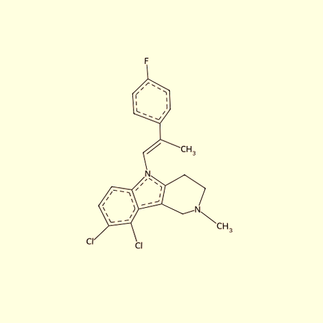 CC(=Cn1c2c(c3c(Cl)c(Cl)ccc31)CN(C)CC2)c1ccc(F)cc1